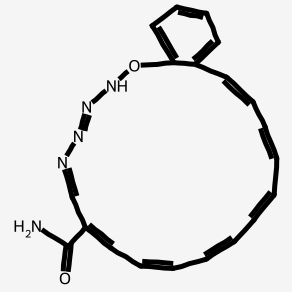 NC(=O)c1cccccccccccc2ccccc2o[nH]nnnc1